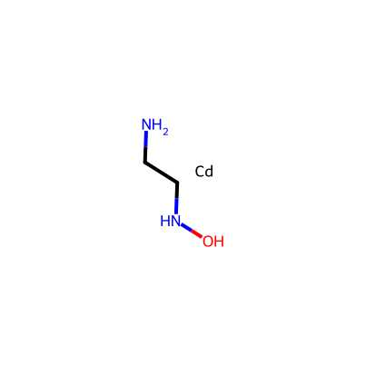 NCCNO.[Cd]